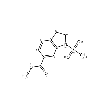 COC(=O)c1ccc2c(c1)N(S(C)(=O)=O)CC2